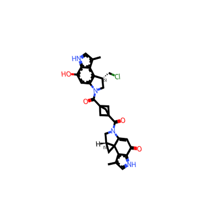 Cc1c[nH]c2c1C13C[C@@H]1CN(C(=O)C14CC(C(=O)N5C[C@@H](CCl)c6c5cc(O)c5[nH]cc(C)c65)(C1)C4)C3=CC2=O